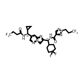 O=C(CCC(F)(F)F)N[C@H](c1cnn2cc([C@@H](NC(=O)c3cnn(CCC(F)(F)F)n3)C3CCC(F)(F)CC3)nc2c1)C1CC1